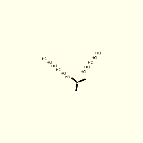 CCCCN(C)C.Cl.Cl.Cl.Cl.Cl.Cl.Cl.Cl.Cl.Cl